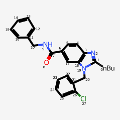 CCCCc1nc2ccc(C(=O)NCc3ccccc3)cc2n1Cc1ccccc1Cl